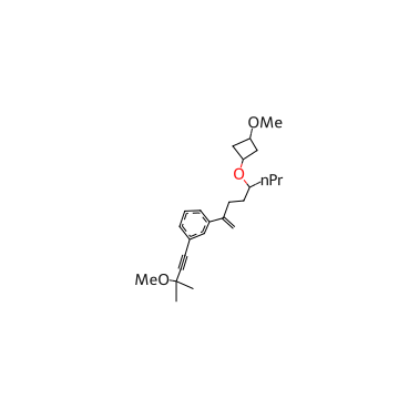 C=C(CCC(CCC)OC1CC(OC)C1)c1cccc(C#CC(C)(C)OC)c1